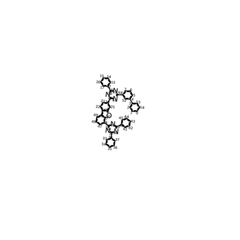 c1ccc(-c2cccc(-c3nc(-c4ccccc4)nc(-c4ccc5c(c4)oc4c(-c6nc(-c7ccccc7)nc(-c7ccccc7)n6)cccc45)n3)c2)cc1